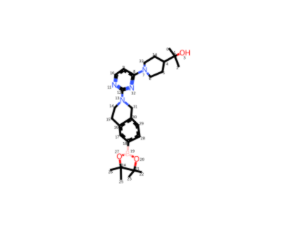 CC(C)(O)C1CCN(c2ccnc(N3CCc4cc(B5OC(C)(C)C(C)(C)O5)ccc4C3)n2)CC1